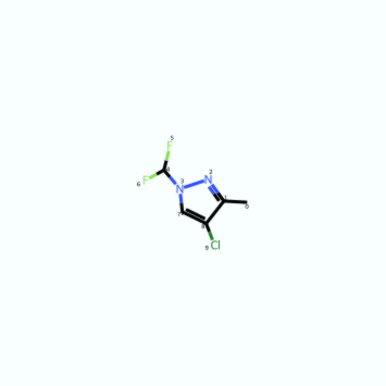 Cc1nn(C(F)F)[c]c1Cl